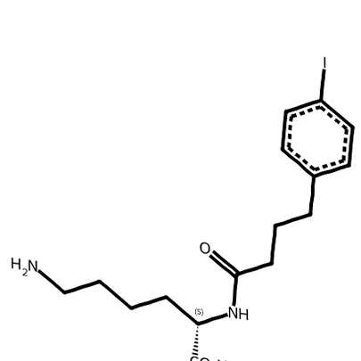 NCCCC[C@H](NC(=O)CCCc1ccc(I)cc1)C(=O)O